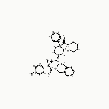 CN(Cc1ccccc1Cl)C(=O)[C@@]1(c2ccc(Cl)cc2)C[C@H]1CN1CCC(C(=O)N2CCCCC2)(c2ccccc2)CC1